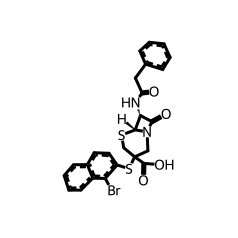 O=C(Cc1ccccc1)N[C@@H]1C(=O)N2CC(Sc3ccc4ccccc4c3Br)(C(=O)O)CS[C@H]12